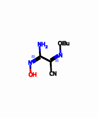 CC(C)CO/N=C(C#N)\C(N)=N/O